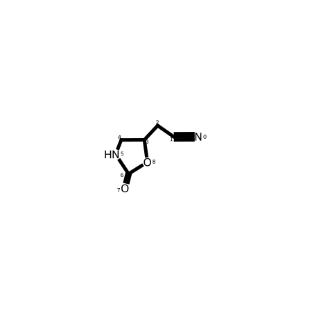 N#CCC1CNC(=O)O1